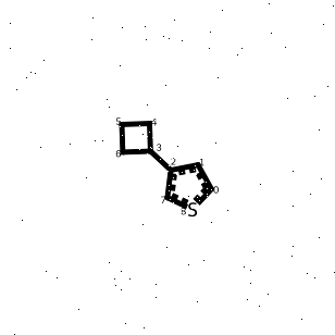 c1cc(C2CCC2)cs1